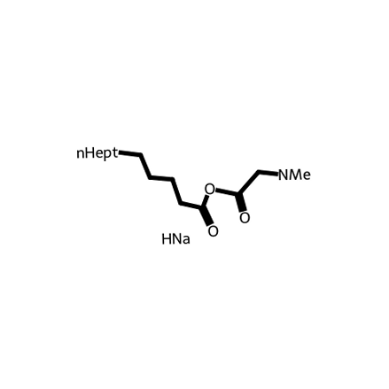 CCCCCCCCCCCC(=O)OC(=O)CNC.[NaH]